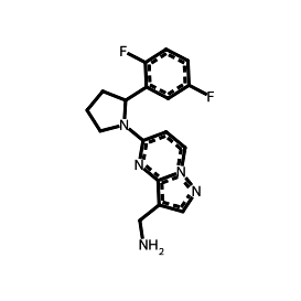 NCc1cnn2ccc(N3CCCC3c3cc(F)ccc3F)nc12